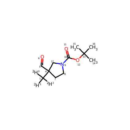 [2H]C([2H])([2H])C1(C=O)CCN(C(=O)OC(C)(C)C)C1